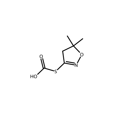 CC1(C)CC(SC(=O)O)=NO1